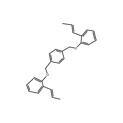 CC=Cc1ccccc1OCc1ccc(COc2ccccc2C=CC)cc1